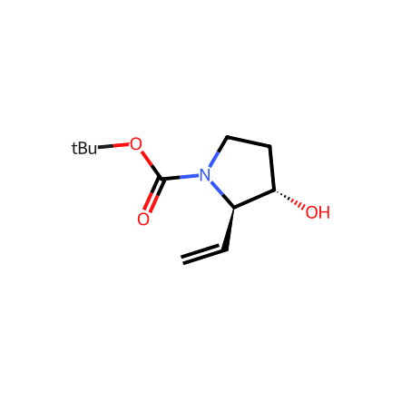 C=C[C@@H]1[C@@H](O)CCN1C(=O)OC(C)(C)C